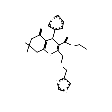 CCOC(=O)C1=C(COCc2c[nH]cn2)NC2=C(C(=O)CC(C)(C)C2)C1c1cccnc1